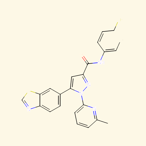 CC/C=C(\C=C/CS)NC(=O)c1cc(-c2ccc3ncsc3c2)n(-c2cccc(C)n2)n1